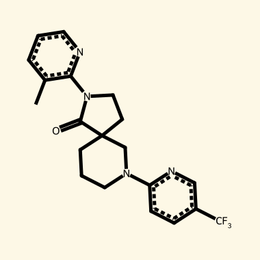 Cc1cccnc1N1CCC2(CCCN(c3ccc(C(F)(F)F)cn3)C2)C1=O